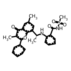 Cc1cc([C@@H](C)Nc2ccccc2C(=O)NS(C)(=O)=O)c2oc(-c3ccccc3)c(C)c(=O)c2c1